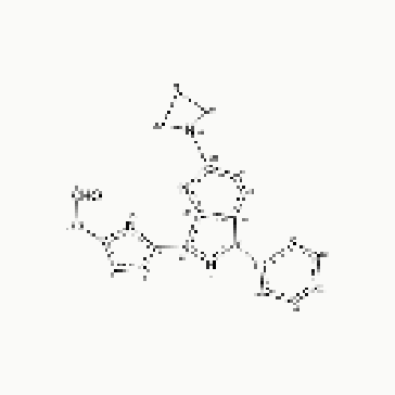 O=COc1csc(-n2nc(-c3ccccc3)c3ccc(N4CCC4)nc32)n1